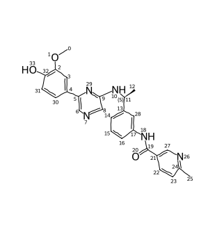 COc1cc(-c2cncc(N[C@@H](C)c3cccc(NC(=O)c4ccc(C)nc4)c3)n2)ccc1O